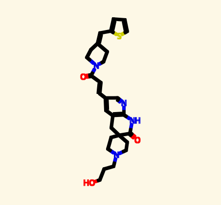 O=C(/C=C/c1cnc2c(c1)CC1(CCN(CCCO)CC1)C(=O)N2)N1CCC(=Cc2cccs2)CC1